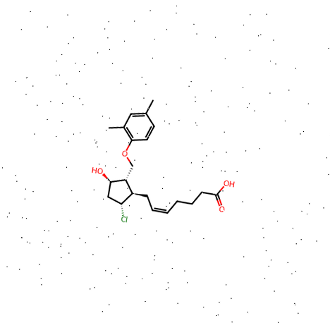 Cc1ccc(OC[C@@H]2[C@@H](C/C=C\CCCC(=O)O)[C@H](Cl)C[C@H]2O)c(C)c1